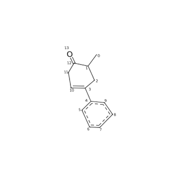 CC1CC(c2ccccc2)=CCC1=O